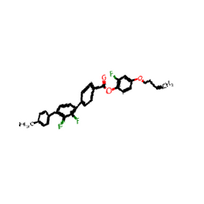 C=CCCOc1ccc(OC(=O)c2ccc(-c3ccc(-c4ccc(C)cc4)c(F)c3F)cc2)c(F)c1